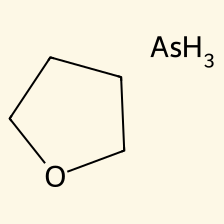 C1CCOC1.[AsH3]